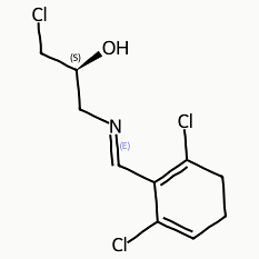 O[C@H](CCl)C/N=C/C1=C(Cl)CCC=C1Cl